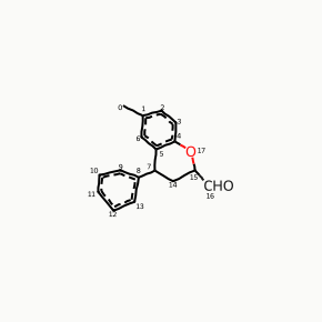 Cc1ccc2c(c1)C(c1ccccc1)CC(C=O)O2